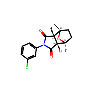 C[C@]12CC[C@H](O1)[C@@H]1C(=O)N(c3cccc(Cl)c3)C(=O)[C@@H]12